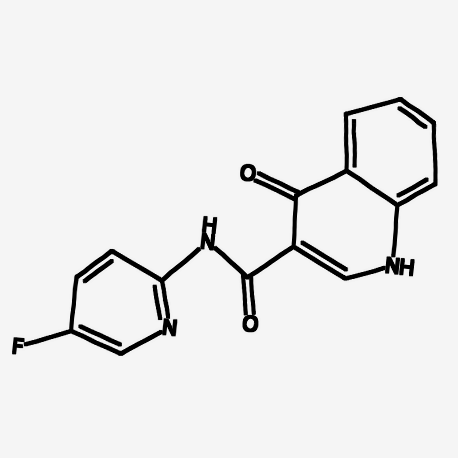 O=C(Nc1ccc(F)cn1)c1c[nH]c2ccccc2c1=O